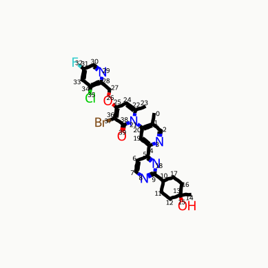 Cc1cnc(-c2ccnc(C3CCC(C)(O)CC3)n2)cc1-n1c(C)cc(OCc2ncc(F)cc2Cl)c(Br)c1=O